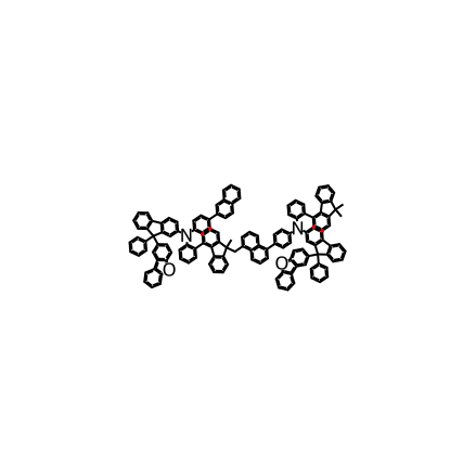 CC1(C)c2ccccc2-c2c(-c3ccccc3N(c3ccc(-c4cccc5c(CC6(C)c7ccccc7-c7c(-c8ccccc8N(c8ccc(-c9ccc%10ccccc%10c9)cc8)c8ccc9c(c8)C(c8ccccc8)(c8ccc%10oc%11ccccc%11c%10c8)c8ccccc8-9)cccc76)cccc45)cc3)c3ccc4c(c3)C(c3ccccc3)(c3ccc5oc6ccccc6c5c3)c3ccccc3-4)cccc21